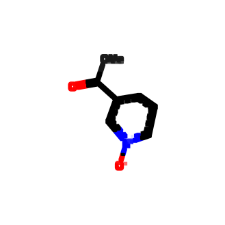 COC(=O)c1ccc[n+]([O-])c1